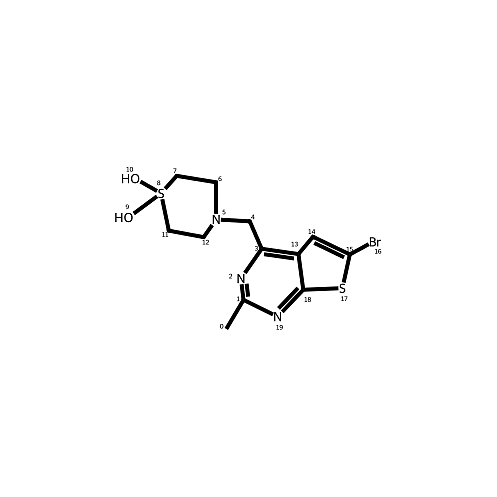 Cc1nc(CN2CCS(O)(O)CC2)c2cc(Br)sc2n1